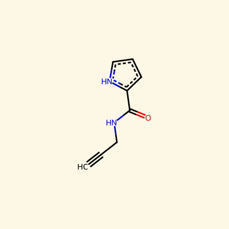 C#CCNC(=O)c1ccc[nH]1